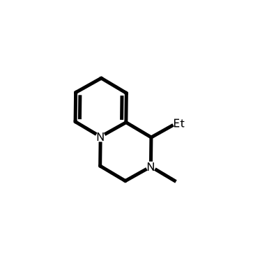 CCC1C2=CCC=CN2CCN1C